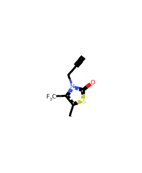 C#CCn1c(C(F)(F)F)c([CH2])sc1=O